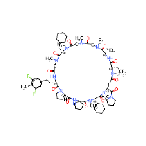 CC[C@H](C)[C@@H]1NC(=O)[C@H](CC(F)(F)F)N(C)C(=O)C[C@@H](C(=O)N2CCCC2)N(C)C(=O)[C@H](C2CCCCC2)N(C)C(=O)C2(CCCC2)NC(=O)[C@@H]2CCCN2C(=O)[C@H](CCc2cc(F)c(C(F)(F)F)c(F)c2)NC(=O)CN(C)C(=O)[C@H](CC2CCCCC2)N(C)C(=O)CN(C)C(=O)CN(C)C1=O